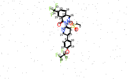 CCS(=O)(=O)c1cc(-c2ccc(OC(F)(F)C(F)F)cc2)cnc1-n1ncc2ccc(C(F)(F)F)cc2c1=O